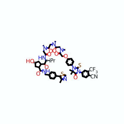 Cc1ncsc1-c1ccc(CNC(=O)C2C[C@@H](O)CC2C(=O)[C@@H](NC(=O)CN(C)C(=O)CN(C)C(=O)CN(C)C(=O)COc2ccc(N3C(=S)N(c4ccc(C#N)c(C(F)(F)F)c4)C(=O)C3(C)C)cc2)C(C)C)cc1